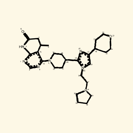 CC1CC(=O)Nc2ncnc(N3CCC(c4nc(C5CCOCC5)cn4CCN4CCCC4)CC3)c21